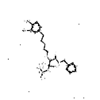 Cc1ccc(CCCCCO[C@@H](C(=O)OCc2ccccc2)[C@@](O[SiH](C)C)(C(=O)O)C(C)(C)C)cc1C